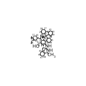 C[C@@H](NC(=O)Nc1cc2c(c(CO)n1)c(-c1ccnc(F)c1)nn2C(c1ccccc1)(c1ccccc1)c1ccccc1)c1ccccc1